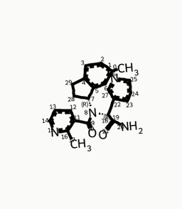 Cc1ccc2c(c1)[C@H](N(C(=O)c1cccnc1C)[C@@H](C(N)=O)c1cccnc1)CC2